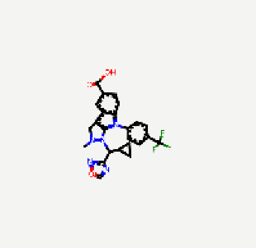 CN1Cc2c(n(-c3ccc(C(F)(F)F)cc3)c3ccc(C(=O)O)cc23)N1C(c1ncon1)C1CC1